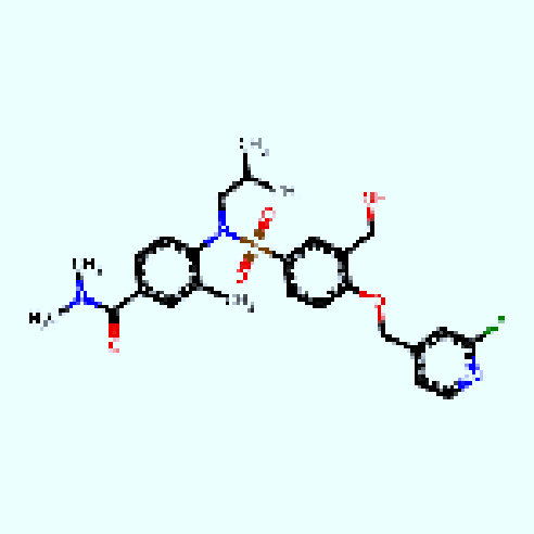 Cc1cc(C(=O)N(C)C)ccc1N(CC(C)C)S(=O)(=O)c1ccc(OCc2ccnc(F)c2)c(CO)c1